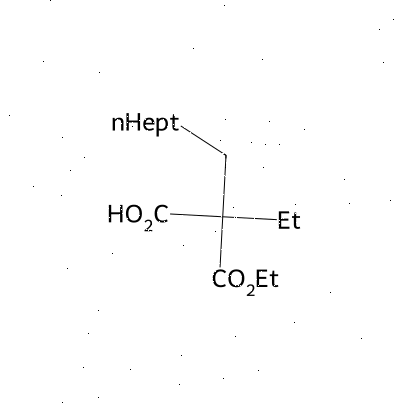 CCCCCCCCC(CC)(C(=O)O)C(=O)OCC